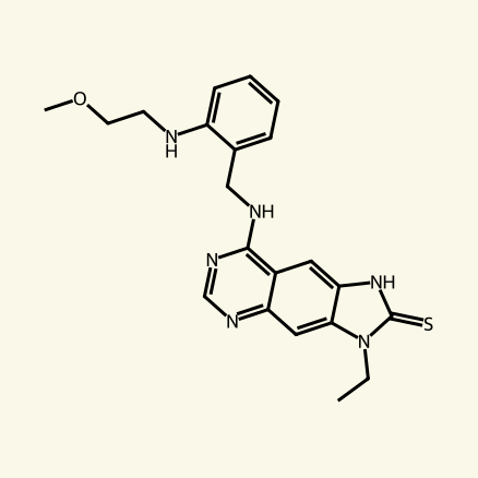 CCn1c(=S)[nH]c2cc3c(NCc4ccccc4NCCOC)ncnc3cc21